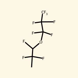 CC(F)(F)C(F)OC(F)(F)C(F)(F)C(F)(F)F